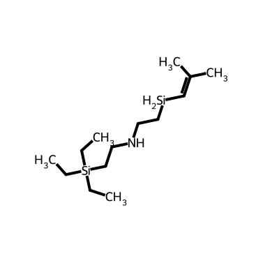 CC[Si](CC)(CC)CCNCC[SiH2]C=C(C)C